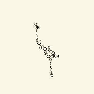 CCC1(CCCCCCCCOc2ccc(C(=O)Oc3ccc(OC(=O)c4ccc(OCCCCCCCCC5(C)COC5)c(C(F)(F)F)c4)c(C(=O)OCc4ccc(C#N)cc4)c3)cc2C)COC1